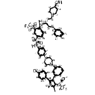 Cc1c([S+]([O-])C(F)(F)F)c(-c2cccc(N3CCN(c4ccc(NS(=O)(=O)c5ccc(N[C@H](CCN6CCC(O)CC6)CSc6ccccc6)c(S(=O)(=O)C(F)(F)F)c5)cc4)CC3)c2)c(-c2ccc(Cl)cc2)n1C